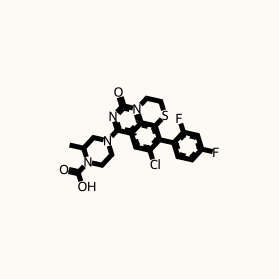 CC1CN(c2nc(=O)n3c4c(c(-c5ccc(F)cc5F)c(Cl)cc24)SCC3)CCN1C(=O)O